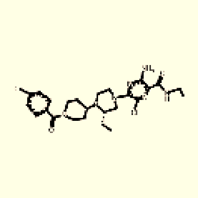 CCNC(=O)c1nc(Cl)c(N2CCN(C3CCN(C(=O)c4ccc(Cl)cc4)CC3)[C@@H](CC)C2)nc1N